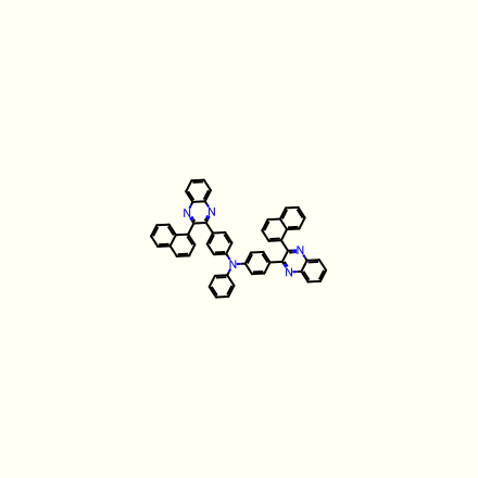 c1ccc(N(c2ccc(-c3nc4ccccc4nc3-c3cccc4ccccc34)cc2)c2ccc(-c3nc4ccccc4nc3-c3cccc4ccccc34)cc2)cc1